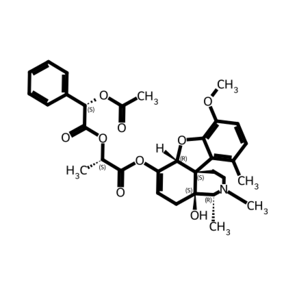 COc1ccc(C)c2c1O[C@H]1C(OC(=O)[C@H](C)OC(=O)[C@@H](OC(C)=O)c3ccccc3)=CC[C@@]3(O)[C@@H](C)N(C)CC[C@]213